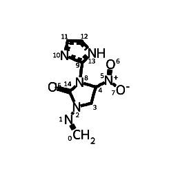 C=NN1CC([N+](=O)[O-])N(c2ncc[nH]2)C1=O